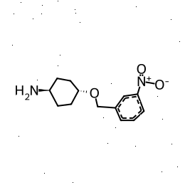 N[C@H]1CC[C@H](OCc2cccc([N+](=O)[O-])c2)CC1